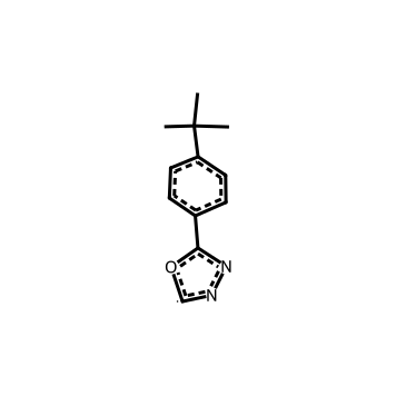 CC(C)(C)c1ccc(-c2nn[c]o2)cc1